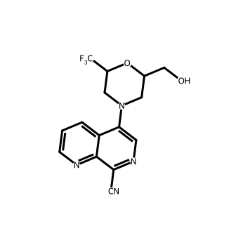 N#Cc1ncc(N2CC(CO)OC(C(F)(F)F)C2)c2cccnc12